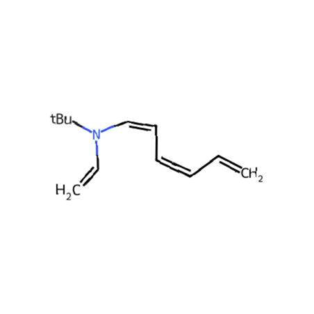 C=C/C=C\C=C/N(C=C)C(C)(C)C